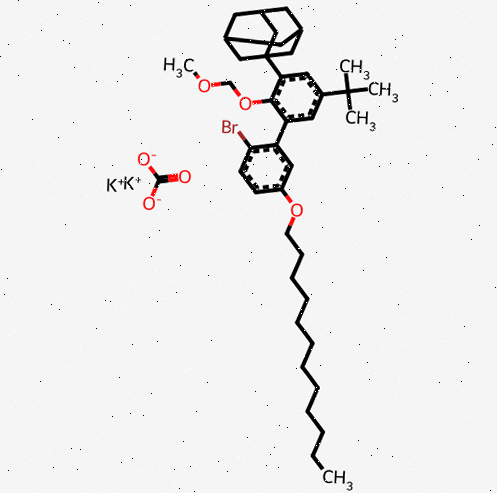 CCCCCCCCCCCCOc1ccc(Br)c(-c2cc(C(C)(C)C)cc(C34CC5CC(CC(C5)C3)C4)c2OCOC)c1.O=C([O-])[O-].[K+].[K+]